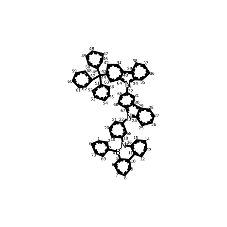 c1ccc(B2c3ccccc3-c3ccccc3N2c2cccc(-n3c4ccccc4c4cc(-n5c6ccccc6c6ccc(C(c7ccccc7)(c7ccccc7)c7ccccc7)cc65)ccc43)c2)cc1